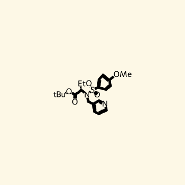 CC[C@H](C(=O)OC(C)(C)C)N(Cc1cccnc1)S(=O)(=O)c1ccc(OC)cc1